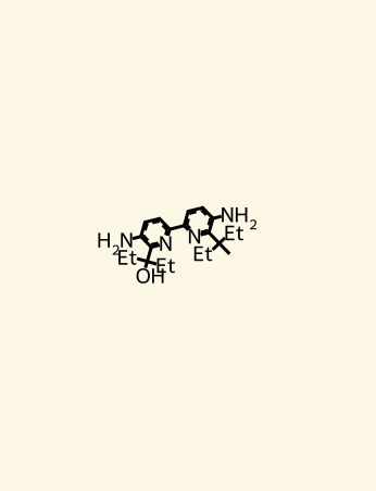 CCC(C)(CC)c1nc(-c2ccc(N)c(C(O)(CC)CC)n2)ccc1N